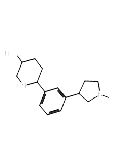 CC1CCC(c2cccc(C3CCN(C)C3)c2)NC1